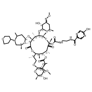 CON=C1C[C@@H](C)O[C@@H](O[C@@H]2[C@@H](C)[C@H](O[C@H]3CC(C)N(C4CCOCC4)C[C@H](C)O3)[C@@H](C)C(=O)OC([C@@H](C)CO[C@@H]3O[C@H](C)[C@@H](O)[C@@H](OC)[C@H]3OC)[C@H](C)[C@@H](OC(=O)CC(C)C)[C@@H](C)C(=O)[C@@](C)(OC(=O)NCCNC(=O)c3cnc(O)cn3)C[C@@H]2C)[C@@H]1O